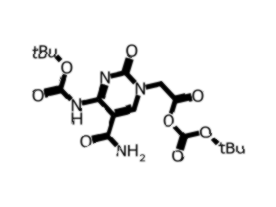 CC(C)(C)OC(=O)Nc1nc(=O)n(CC(=O)OC(=O)OC(C)(C)C)cc1C(N)=O